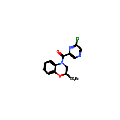 CCOC(=O)C1CN(C(=O)c2cncc(Cl)n2)c2ccccc2O1